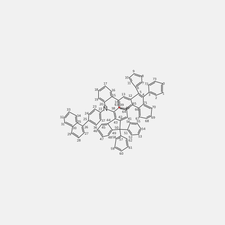 c1ccc(-c2c(-c3ccccc3)c3cc(-c4ccccc4N(c4ccc(-c5cccc6ccccc56)cc4)c4cccc5c4-c4ccccc4C5(c4ccccc4)c4ccccc4)ccc3c3ccccc23)cc1